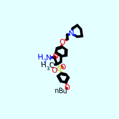 CCCCOc1ccc(S(=O)(=O)C(C)(Cc2ccc(OCCN3CCCCC3)cc2)C(N)=O)cc1